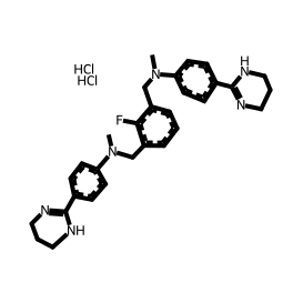 CN(Cc1cccc(CN(C)c2ccc(C3=NCCCN3)cc2)c1F)c1ccc(C2=NCCCN2)cc1.Cl.Cl